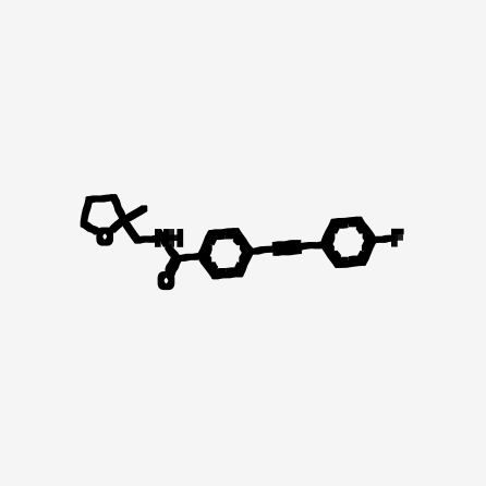 CC1(CNC(=O)c2ccc(C#Cc3ccc(F)cc3)cc2)CCCO1